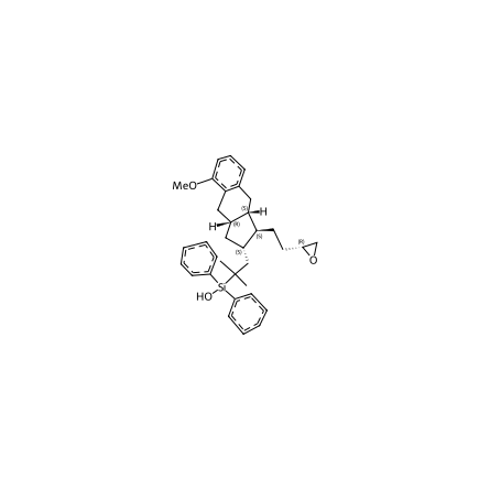 COc1cccc2c1C[C@H]1C[C@@H](CC(C)(C)[Si](O)(c3ccccc3)c3ccccc3)[C@H](CC[C@@H]3CO3)[C@H]1C2